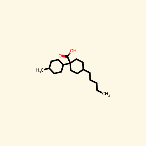 CCCCCC1CCC(C(=O)O)(C2CCC(C)CC2)CC1